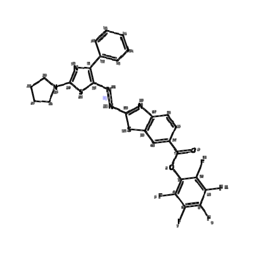 O=C(Oc1c(F)c(F)c(F)c(F)c1F)c1ccc2nc(/N=N/c3sc(N4CCCC4)nc3-c3ccccc3)sc2c1